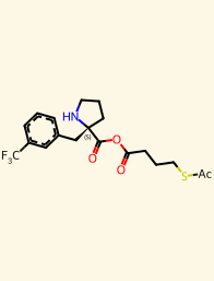 CC(=O)SCCCC(=O)OC(=O)[C@@]1(Cc2cccc(C(F)(F)F)c2)CCCN1